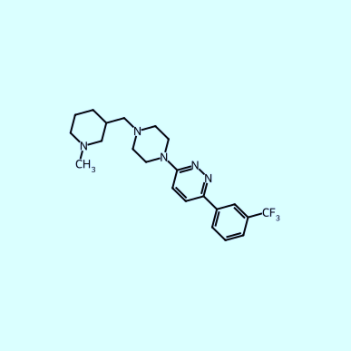 CN1CCCC(CN2CCN(c3ccc(-c4cccc(C(F)(F)F)c4)nn3)CC2)C1